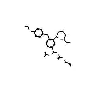 C=CCOC(=O)OC(OC(C)=O)c1ccc(Cc2ccc(OCC)cc2)c([C@@]2(O)O[C@H]([C@H](C)O)[C@@H](O)[C@H](O)[C@H]2O)c1